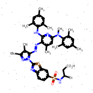 CCC(CC(=O)O)NS(=O)(=O)c1ccc2nc(-n3nc(C(C)(C)C)c(C#N)c3N=Nc3c(C)cc(N(C)c4c(C)cc(C)cc4C)nc3Nc3c(C)cc(C)cc3C)sc2c1